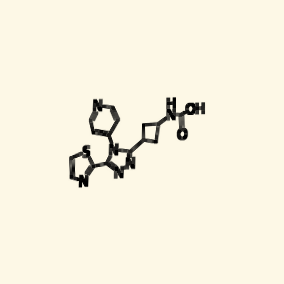 O=C(O)NC1CC(c2nnc(-c3nccs3)n2-c2ccncc2)C1